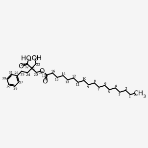 CCCCCCCCCCCCCCCCCC(=O)OCC(CO)(CCc1ccccc1)C(=O)O